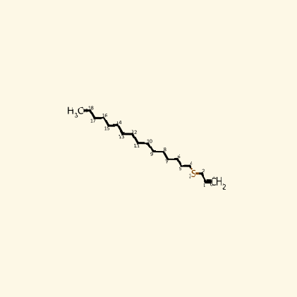 C=CCSCCCCCCCCCCCCCCCC